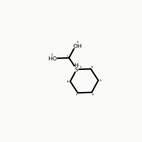 OC(O)[SH]1CCCCC1